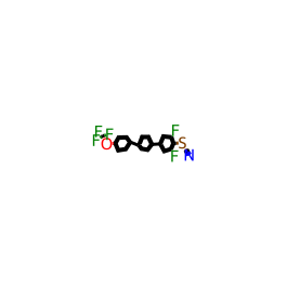 N#CSc1c(F)cc(-c2ccc(-c3ccc(OC(F)(F)F)cc3)cc2)cc1F